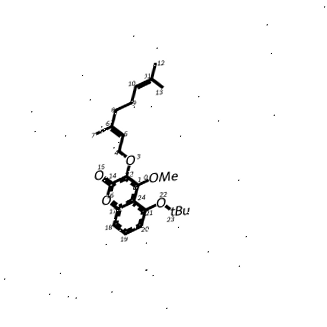 COc1c(OC/C=C(\C)CCC=C(C)C)c(=O)oc2cccc(OC(C)(C)C)c12